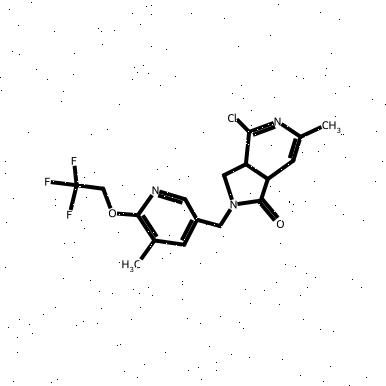 CC1=CC2C(=O)N(Cc3cnc(OCC(F)(F)F)c(C)c3)CC2C(Cl)=N1